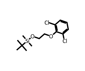 CC(C)(C)[Si](C)(C)OCCOc1c(Cl)cccc1Cl